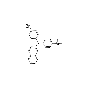 C[Si](C)(C)c1ccc(N(c2ccc(Br)cc2)c2ccc3ccccc3c2)cc1